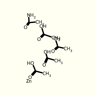 CC(=O)O.CC(=O)O.CC(=O)O.CC(=O)O.CC(N)=O.[Zn]